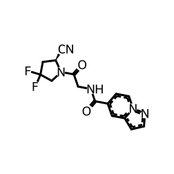 N#C[C@@H]1CC(F)(F)CN1C(=O)CNC(=O)c1ccn2nccc2c1